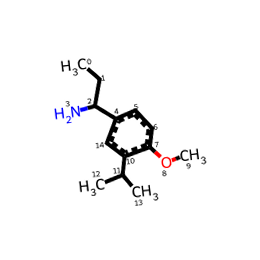 CCC(N)c1ccc(OC)c(C(C)C)c1